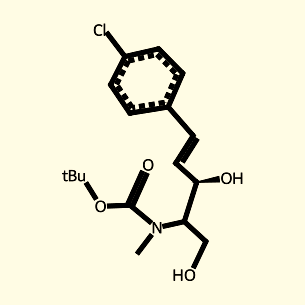 CN(C(=O)OC(C)(C)C)C(CO)[C@H](O)/C=C/c1ccc(Cl)cc1